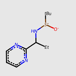 CCC(N[S+]([O-])C(C)(C)C)c1ncccn1